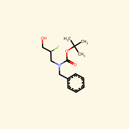 CC(C)(C)OC(=O)N(Cc1ccccc1)C[C@H](F)CO